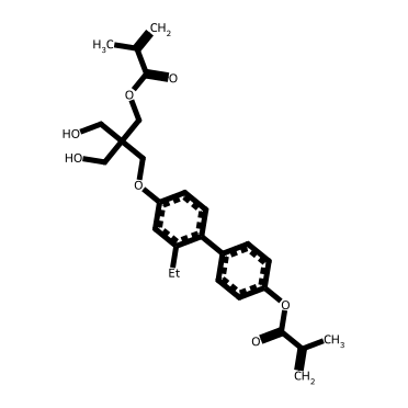 C=C(C)C(=O)OCC(CO)(CO)COc1ccc(-c2ccc(OC(=O)C(=C)C)cc2)c(CC)c1